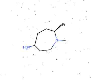 CC(C)[C@@H]1CCC(N)CCN1C